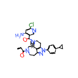 C=CC(=O)N1CCc2nn(-c3ccc(C4CC4)cc3)c3c2[C@H](C1)N(C(=O)c1cnc(Cl)cc1N)CC3